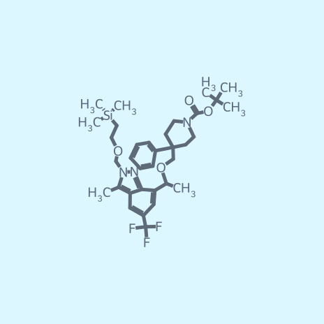 Cc1c2cc(C(F)(F)F)cc(C(C)OCC3(c4ccccc4)CCN(C(=O)OC(C)(C)C)CC3)c2nn1COCC[Si](C)(C)C